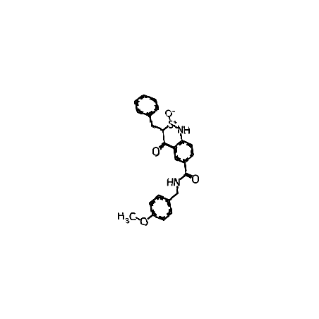 COc1ccc(CNC(=O)c2ccc3c(c2)C(=O)C(Cc2ccccc2)[S+]([O-])N3)cc1